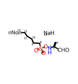 C=C(C=O)NOS(=O)(=O)CCCCCCCCCCCCCC.[NaH]